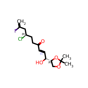 C=C(I)C[C@H](Cl)CCC(=O)/C=C/C(O)[C@H]1COC(C)(C)O1